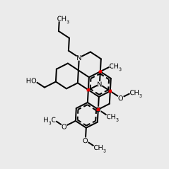 CCCCN1CCc2cc(OC)c(OC)cc2C12CCC(CO)CC2C1c2cc(OC)c(OC)cc2CCN1CC